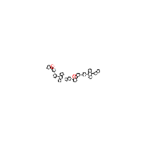 c1cc(-c2ccc3oc4ccccc4c3c2)cc(-c2c3ccccc3c(-c3ccc4cc(-c5cccc6c5oc5ccc(-c7ccc(-c8c9ccccc9c(-c9ccc%10ccccc%10c9)c9ccccc89)cc7)cc56)ccc4c3)c3ccccc23)c1